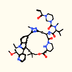 C=CC(=O)N1CCCN(C(=O)N(C)[C@H](C(=O)NC2Cc3nc(n(C)n3)-c3ccc4c(c3)c(c(-c3cccnc3[C@H](C)OC)n4CC)CC(C)(C)COC(=O)[C@@H]3CCCN(N3)C2=O)C(C)C)C1